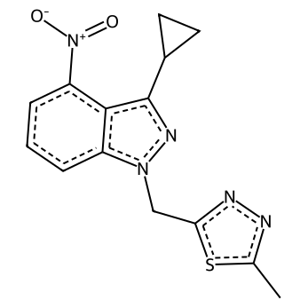 Cc1nnc(Cn2nc(C3CC3)c3c([N+](=O)[O-])cccc32)s1